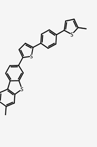 Cc1ccc2c(c1)sc1cc(-c3ccc(-c4ccc(-c5ccc(C)s5)cc4)s3)ccc12